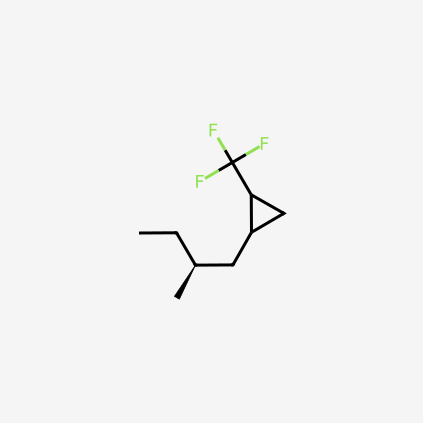 CC[C@H](C)CC1CC1C(F)(F)F